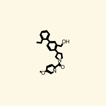 CCc1ccccc1-c1ccc(C2CCN(C(=O)c3ccc(OC)cn3)C2)c(CO)c1